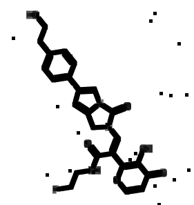 O=C(NCCF)C(=CN1Cc2cc(-c3ccc(CCO)cc3)cn2C1=O)c1occc(=O)c1O